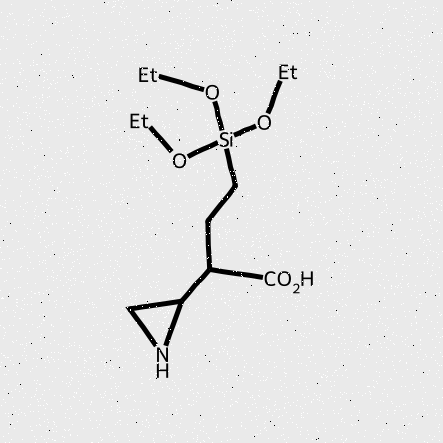 CCO[Si](CCC(C(=O)O)C1CN1)(OCC)OCC